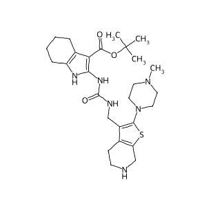 CN1CCN(c2sc3c(c2CNC(=O)Nc2[nH]c4c(c2C(=O)OC(C)(C)C)CCCC4)CCNC3)CC1